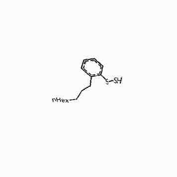 CCCCCCCCCc1ccccc1SS